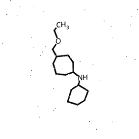 CCOCC1CCCC(NC2CCCCC2)CC1